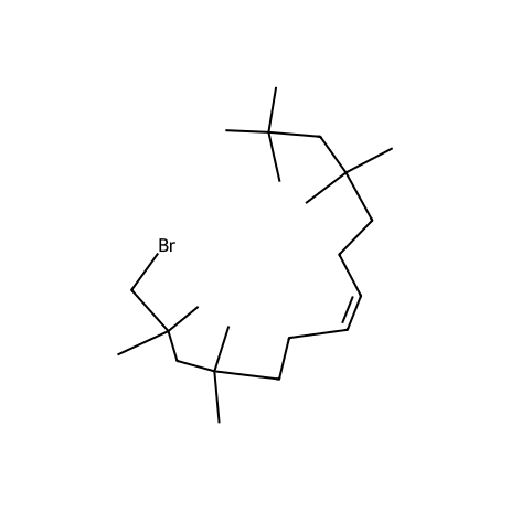 CC(C)(C)CC(C)(C)CC/C=C\CCC(C)(C)CC(C)(C)CBr